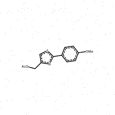 COc1ccc(-c2nc(COC(C)=O)cs2)cc1